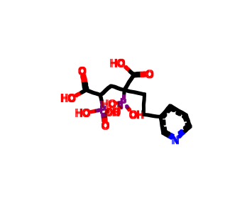 O=C(O)C(CC(CCc1cccnc1)(C(=O)O)P(=O)(O)O)P(=O)(O)O